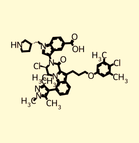 Cc1cc(OCCCc2c3n(c4c(-c5c(C)nn(C)c5C)cccc24)C(C)[C@@H](Cl)N(c2cn(C[C@@H]4CCNC4)c4ccc(C(=O)O)cc24)C3=O)cc(C)c1Cl